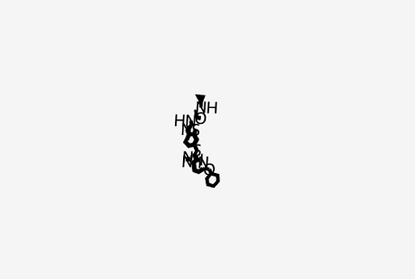 O=C(CNC1CC1)Nc1nc2ccc(Sc3nnc4ccc(OC5CCCCC5)nn34)cc2s1